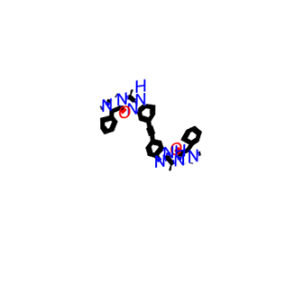 C[C@@H](c1nc2cc(C#Cc3ccc4nc([C@H](C)N(C)C(=O)[C@@H](c5ccccc5)N(C)C)[nH]c4c3)ccc2[nH]1)N(C)C(=O)[C@@H](c1ccccc1)N(C)C